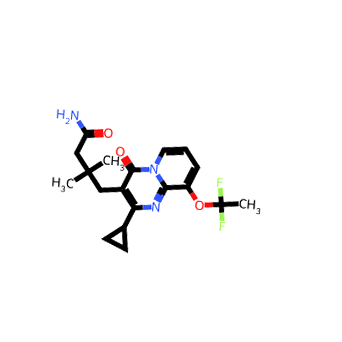 CC(C)(CC(N)=O)Cc1c(C2CC2)nc2c(OC(C)(F)F)cccn2c1=O